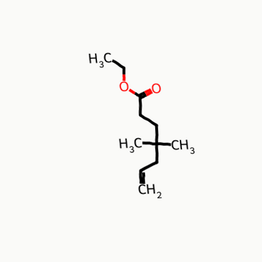 C=CCC(C)(C)CCC(=O)OCC